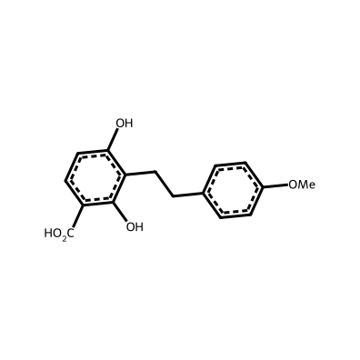 COc1ccc(CCc2c(O)ccc(C(=O)O)c2O)cc1